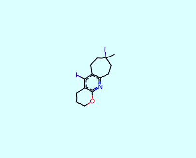 CC1(I)CCc2nc3c(c(I)c2CC1)CCCO3